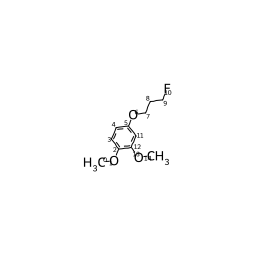 COc1ccc(OCCCF)cc1OC